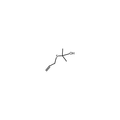 C=CCSC(C)(C)O